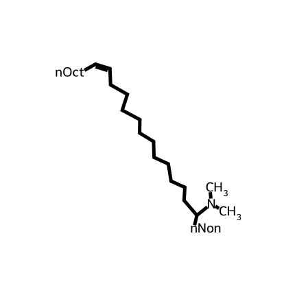 CCCCCCCC/C=C\CCCCCCCCCCCC(CCCCCCCCC)N(C)C